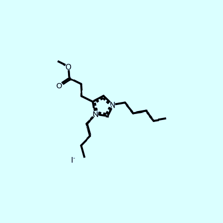 CCCCCn1cc(CCC(=O)OC)[n+](CCCC)c1.[I-]